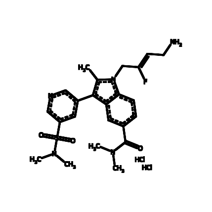 Cc1c(-c2cncc(S(=O)(=O)N(C)C)c2)c2cc(C(=O)N(C)C)ccc2n1CC(F)=CCN.Cl.Cl